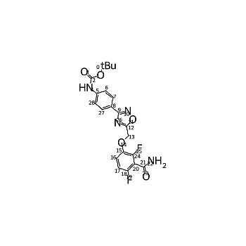 CC(C)(C)OC(=O)Nc1ccc(-c2noc(COc3ccc(F)c(C(N)=O)c3F)n2)cc1